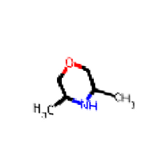 CC1COCC(C)N1